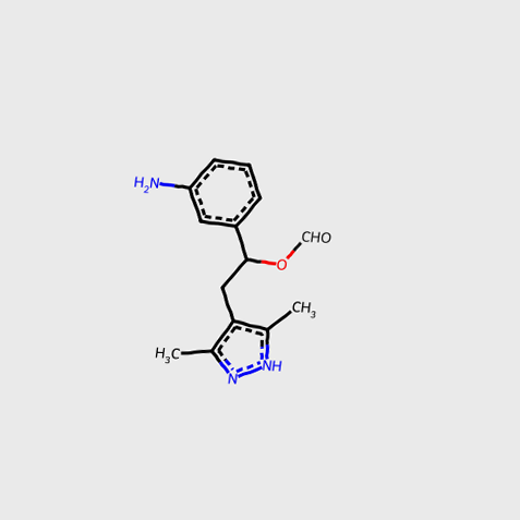 Cc1n[nH]c(C)c1CC(OC=O)c1cccc(N)c1